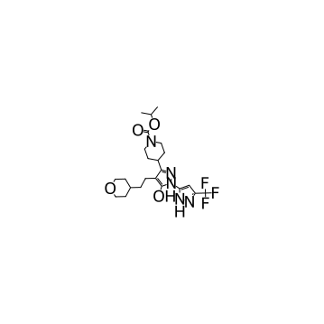 CC(C)OC(=O)N1CCC(c2nn(-c3cc(C(F)(F)F)n[nH]3)c(O)c2CCC2CCOCC2)CC1